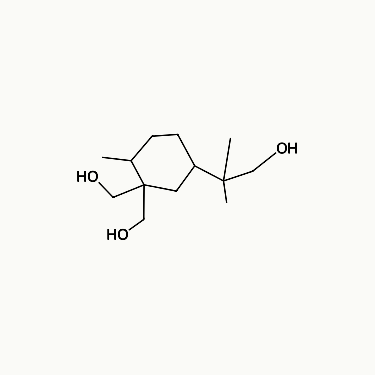 CC1CCC(C(C)(C)CO)CC1(CO)CO